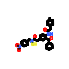 Cc1ccc(CC(=O)Nc2ccc(CC(=O)N(S)Cc3ccc([N+](=O)[O-])cc3)cc2C(=O)c2ccccc2)cc1